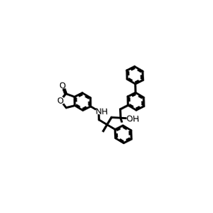 CC(O)(Cc1cccc(-c2ccccc2)c1)CC(C)(CNc1ccc2c(c1)COC2=O)c1ccccc1